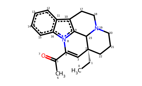 CC[C@@]12C=C(C(C)=O)n3c4c(c5ccccc53)CCN(CCC1)C42